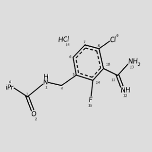 CC(C)C(=O)NCc1ccc(Cl)c(C(=N)N)c1F.Cl